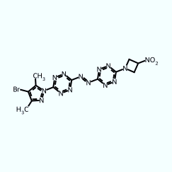 Cc1nn(-c2nnc(N=Nc3nnc(N4CC([N+](=O)[O-])C4)nn3)nn2)c(C)c1Br